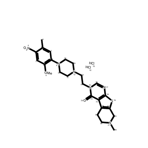 COc1cc([N+](=O)[O-])c(C)cc1N1CCN(CCn2cnc3sc4c(c3c2=O)CCN(C)C4)CC1.Cl.Cl